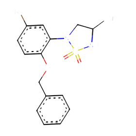 O=CC1CN(c2cc(Br)ccc2OCc2ccccc2)S(=O)(=O)N1